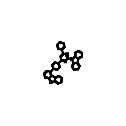 c1ccc(-c2cc(-c3ccc(-c4cccc5oc6ccccc6c45)cc3)nc(-n3c4ccccc4c4ccccc43)n2)cc1